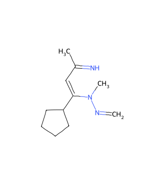 C=NN(C)/C(=C\C(C)=N)C1CCCC1